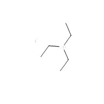 C[CH2][Sn+]([CH2]C)[CH2]C.[F-]